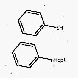 CCCCCCCc1ccccc1.Sc1ccccc1